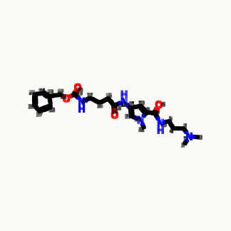 CN(C)CCCNC(=O)c1cc(NC(=O)CCCNC(=O)OCc2ccccc2)cn1C